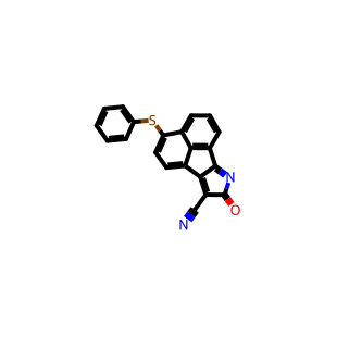 N#CC1=C2C(=NC1=O)c1cccc3c(Sc4ccccc4)ccc2c13